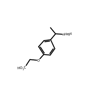 CCCCCCCC(C)c1ccc(OCC(=O)O)cc1